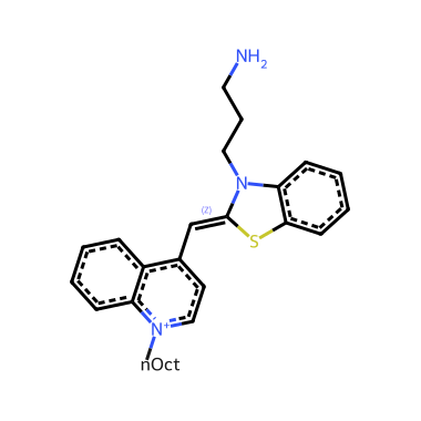 CCCCCCCC[n+]1ccc(/C=C2\Sc3ccccc3N2CCCN)c2ccccc21